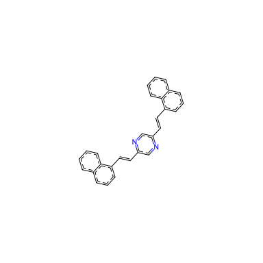 C(=Cc1cccc2ccccc12)c1cnc(C=Cc2cccc3ccccc23)cn1